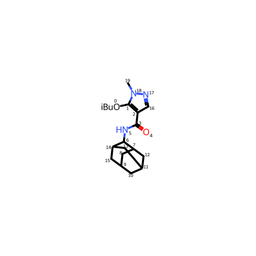 CC(C)COc1c(C(=O)NC2C3CC4CC(C3)CC2C4)cnn1C